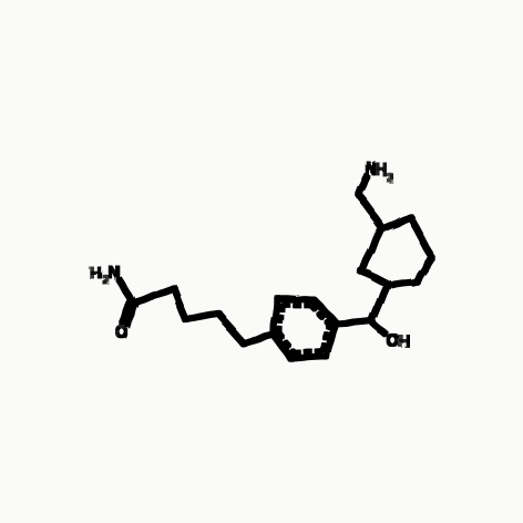 NCC1CCCC(C(O)c2ccc(CCCCC(N)=O)cc2)C1